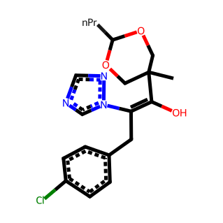 CCCC1OCC(C)(C(O)=C(Cc2ccc(Cl)cc2)n2cncn2)CO1